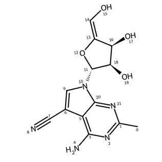 Cc1nc(N)c2c(C#N)cn([C@@H]3O/C(=C/O)[C@@H](O)[C@H]3O)c2n1